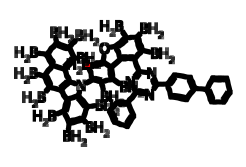 Bc1c(B)c(-c2nc(-c3ccccc3)nc(-c3ccc(-c4ccccc4)cc3)n2)c2c(oc3c(B)c(-n4c5c(B)c(B)c(B)c(B)c5c5c(B)c(B)c6c(B)c(B)c(B)c(B)c6c54)c(B)c(B)c32)c1B